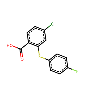 O=C(O)c1ccc(Cl)cc1Sc1ccc(F)cc1